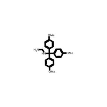 COc1ccc(C(NCN)(c2ccc(OC)cc2)c2ccc(OC)cc2)cc1